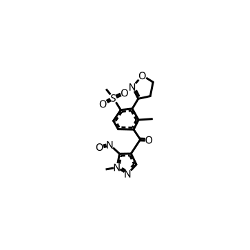 Cc1c(C(=O)c2cnn(C)c2N=O)ccc(S(C)(=O)=O)c1C1=NOCC1